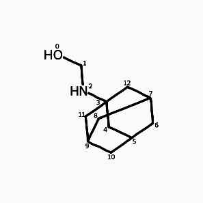 OCNC12CC3CC(CC(C3)C1)C2